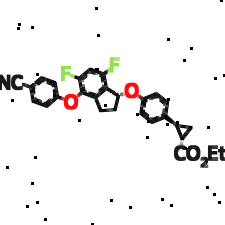 CCOC(=O)[C@H]1C[C@@H]1c1ccc(O[C@@H]2CCc3c(Oc4ccc(C#N)cc4)c(F)cc(F)c32)cc1